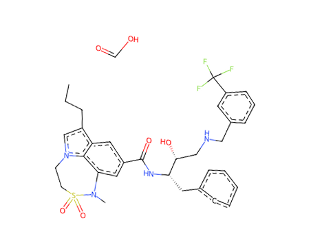 CCCc1cn2c3c(cc(C(=O)N[C@@H](Cc4ccccc4)[C@H](O)CNCc4cccc(C(F)(F)F)c4)cc13)N(C)S(=O)(=O)CC2.O=CO